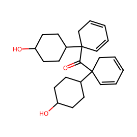 O=C(C1(C2CCC(O)CC2)C=CC=CC1)C1(C2CCC(O)CC2)C=CC=CC1